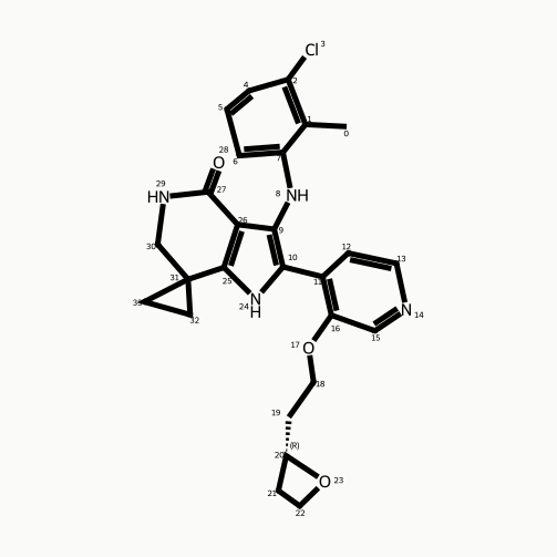 Cc1c(Cl)cccc1Nc1c(-c2ccncc2OCC[C@H]2CCO2)[nH]c2c1C(=O)NCC21CC1